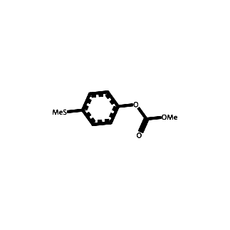 COC(=O)Oc1ccc(SC)cc1